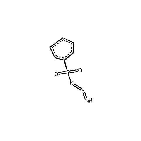 N=S=NS(=O)(=O)c1ccccc1